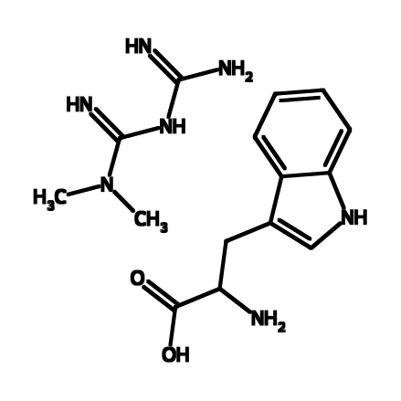 CN(C)C(=N)NC(=N)N.NC(Cc1c[nH]c2ccccc12)C(=O)O